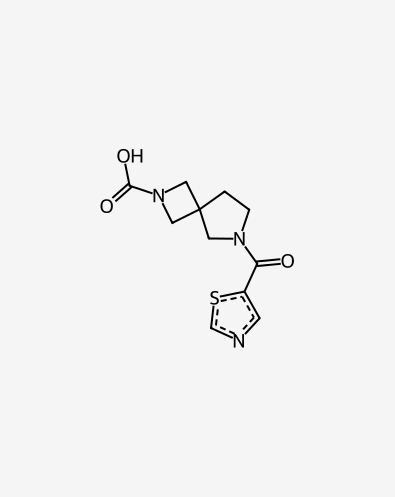 O=C(O)N1CC2(CCN(C(=O)c3cncs3)C2)C1